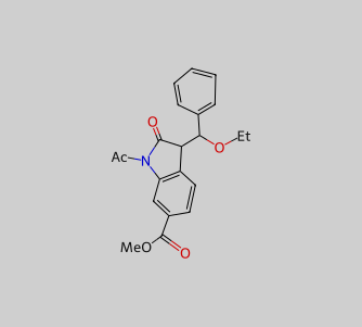 CCOC(c1ccccc1)C1C(=O)N(C(C)=O)c2cc(C(=O)OC)ccc21